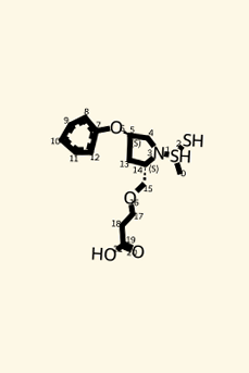 C[SH](S)N1C[C@@H](Oc2ccccc2)C[C@H]1COCCC(=O)O